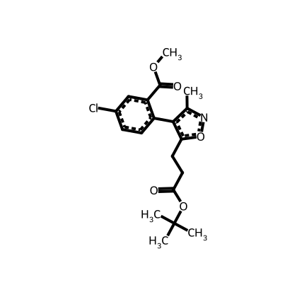 COC(=O)c1cc(Cl)ccc1-c1c(C)noc1CCC(=O)OC(C)(C)C